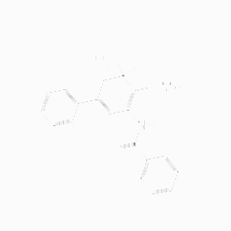 COC1=C(NC(=O)c2ccccc2)C=C(c2ccccc2)CC1(C)C(=O)O